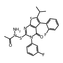 CC(=O)N(N)Sc1nc2sc(C(C)C)c(-c3ccccc3F)c2c(=O)n1-c1cccc(F)c1